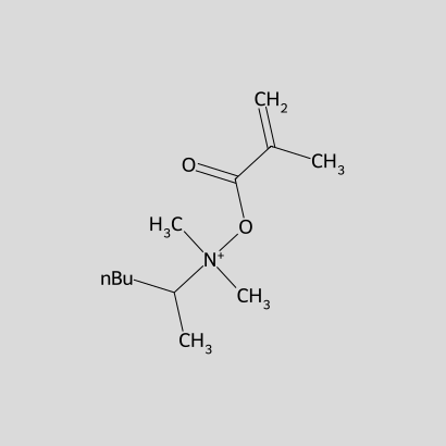 C=C(C)C(=O)O[N+](C)(C)C(C)CCCC